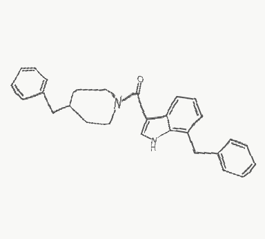 O=C(c1c[nH]c2c(Cc3ccccc3)cccc12)N1CCC(Cc2ccccc2)CC1